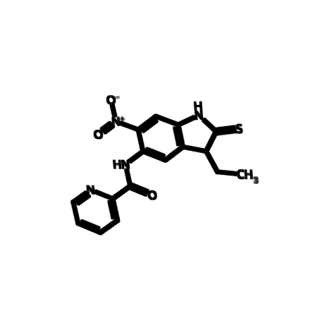 CCC1C(=S)Nc2cc([N+](=O)[O-])c(NC(=O)c3ccccn3)cc21